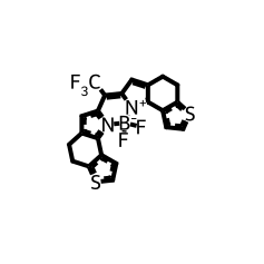 F[B-]1(F)n2c(cc3c2-c2ccsc2CC3)C(C(F)(F)F)=C2C=C3CCc4sccc4C3=[N+]21